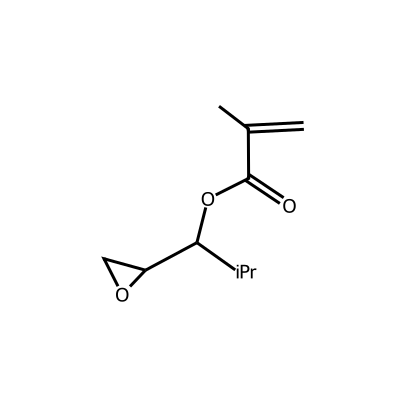 C=C(C)C(=O)OC(C(C)C)C1CO1